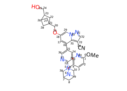 COc1ccc(CN2C3CC2CN(c2ccc(-c4cc(OCC56CC(CO)C(C5)C6)cn5ncc(C#N)c45)cn2)C3)cn1